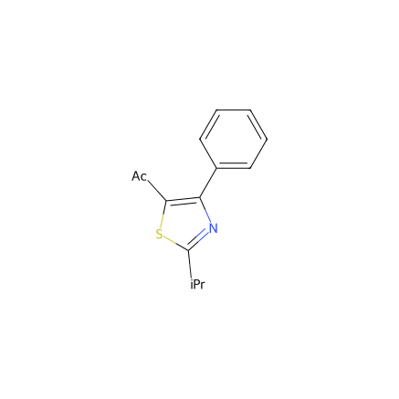 CC(=O)c1sc(C(C)C)nc1-c1ccccc1